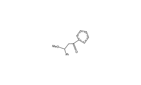 COC(CC(=O)c1ccccc1)C(C)C